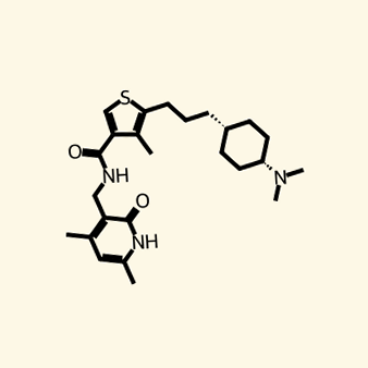 Cc1cc(C)c(CNC(=O)c2csc(CCC[C@H]3CC[C@@H](N(C)C)CC3)c2C)c(=O)[nH]1